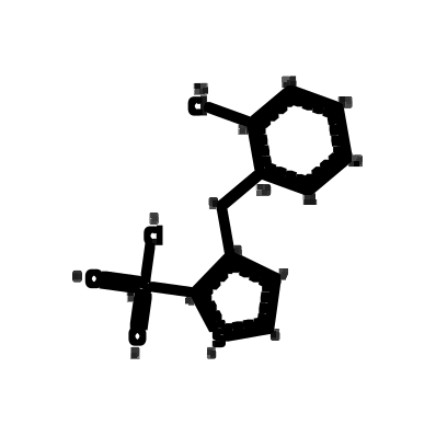 O=S(=O)(Cl)c1sccc1Cc1ccccc1Cl